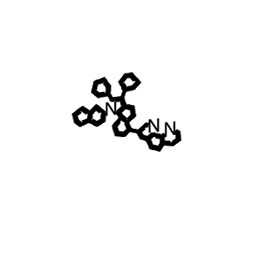 c1ccc(-c2c(-c3ccccc3)n(-c3ccc4ccccc4c3)c3c2ccc2c(-c4cnc5c(ccc6cccnc65)c4)cccc23)cc1